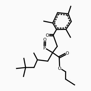 CCCOC(=O)C(CC(=O)c1c(C)cc(C)cc1C)(CC(C)CC(C)(C)C)P=O